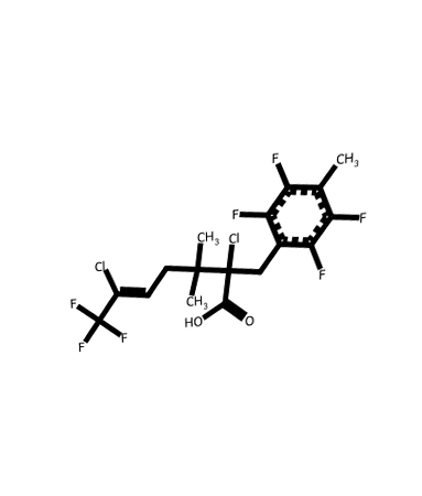 Cc1c(F)c(F)c(CC(Cl)(C(=O)O)C(C)(C)CC=C(Cl)C(F)(F)F)c(F)c1F